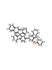 CC1(c2ccccc2)c2ccccc2Oc2cc(C3=CC(C4(c5ccccc5)c5ccccc5-c5cc6ccccc6cc54)CC=C3)ccc21